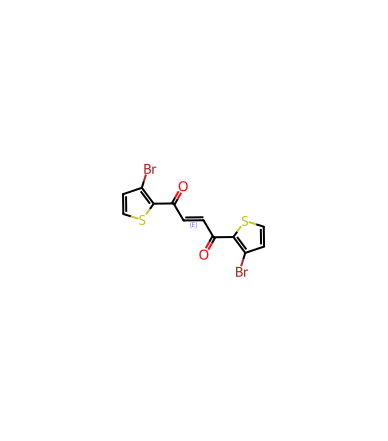 O=C(/C=C/C(=O)c1sccc1Br)c1sccc1Br